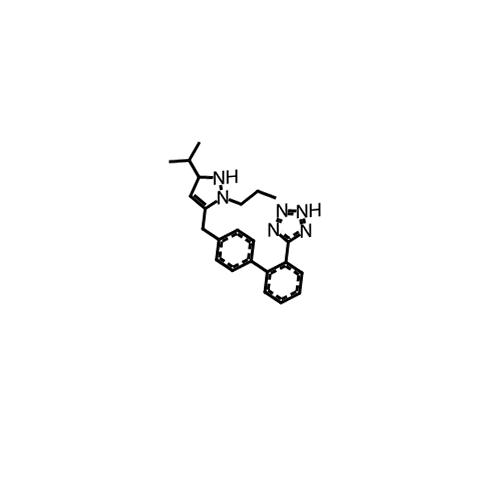 CCCN1NC(C(C)C)C=C1Cc1ccc(-c2ccccc2-c2nn[nH]n2)cc1